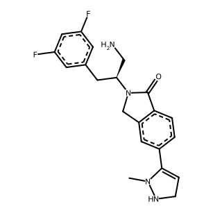 CN1NCC=C1c1ccc2c(c1)CN([C@H](CN)Cc1cc(F)cc(F)c1)C2=O